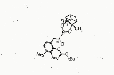 CSc1ccc(C[C@@H](Cl)B2OC3CC4CC(C4(C)C)[C@]3(C)O2)c(OC(=O)OC(C)(C)C)c1C(C)=O